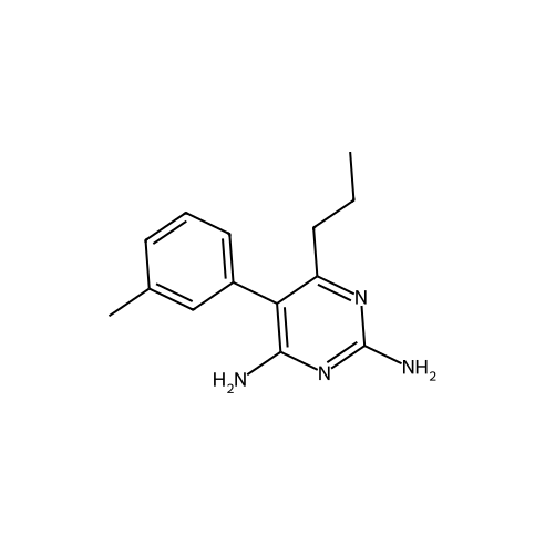 CCCc1nc(N)nc(N)c1-c1cccc(C)c1